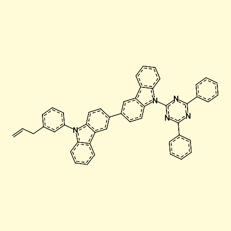 C=CCc1cccc(-n2c3ccccc3c3cc(-c4ccc5c(c4)c4ccccc4n5-c4nc(-c5ccccc5)nc(-c5ccccc5)n4)ccc32)c1